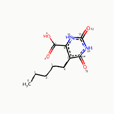 CCCCCc1c(C(=O)O)[nH]c(=O)[nH]c1=O